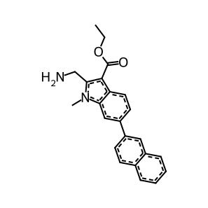 CCOC(=O)c1c(CN)n(C)c2cc(-c3ccc4ccccc4c3)ccc12